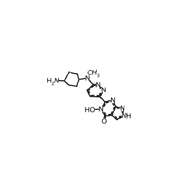 CN(c1ccc(-c2nc3n[nH]cc3c(=O)n2O)nn1)C1CCC(N)CC1